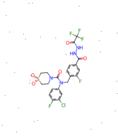 O=C(NNC(=O)C(F)(F)F)c1ccc(CN(C(=O)N2CCS(=O)(=O)CC2)c2ccc(F)c(Cl)c2)c(F)c1